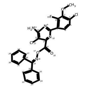 COc1c(Cl)ccc(-c2nc(N)c(Cl)c(C(=O)ON=C(c3ccccc3)c3ccccc3)n2)c1F